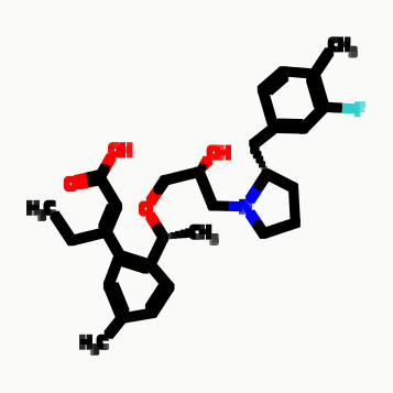 CC/C(=C\C(=O)O)c1cc(C)ccc1[C@@H](C)OC[C@@H](O)CN1CCC[C@H]1Cc1ccc(C)c(F)c1